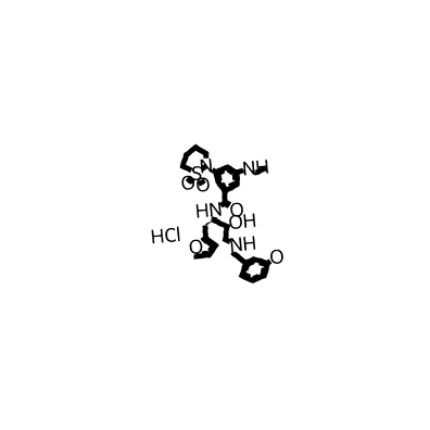 CCNc1cc(C(=O)N[C@@H](Cc2ccco2)[C@H](O)CNCc2cccc(OC)c2)cc(N2CCCCS2(=O)=O)c1.Cl